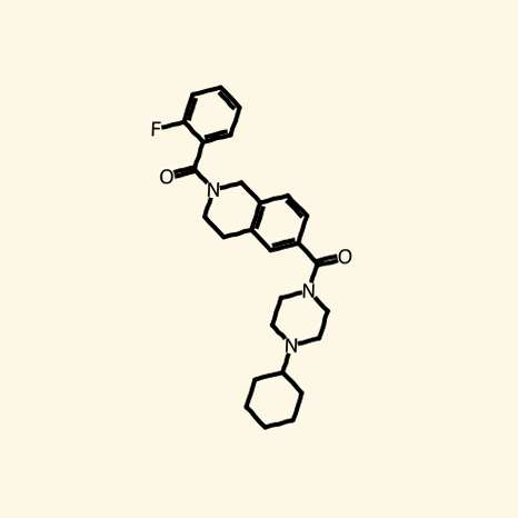 O=C(c1ccc2c(c1)CCN(C(=O)c1ccccc1F)C2)N1CCN(C2CCCCC2)CC1